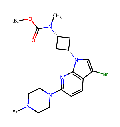 CC(=O)N1CCN(c2ccc3c(Br)cn([C@H]4C[C@@H](N(C)C(=O)OC(C)(C)C)C4)c3n2)CC1